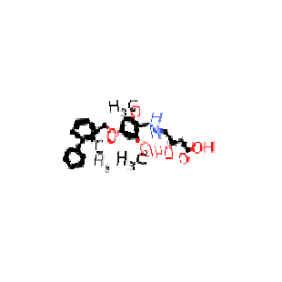 COc1cc(OCc2cccc(-c3ccccc3)c2C)cc(OC)c1CNC[C@@H](O)CC(=O)O